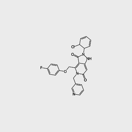 O=c1c2c(COc3ccc(F)cc3)n(Cc3cccnc3)c(=O)cc2[nH]n1C1C=CC=CC1Cl